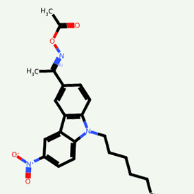 CCCCCCn1c2ccc(/C(C)=N/OC(C)=O)cc2c2cc([N+](=O)[O-])ccc21